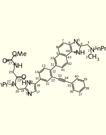 CCCN(C)Cc1nc2ccc3cc(-c4ccc(-c5cnc(CN(CCC)C(=O)CNC(=O)OC)[nH]5)cc4C#Cc4ccccc4)ccc3c2[nH]1